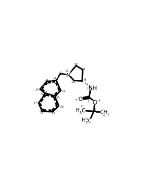 CC(C)(C)OC(=O)N[C@H]1CCN(Cc2ccc3ccccc3c2)C1